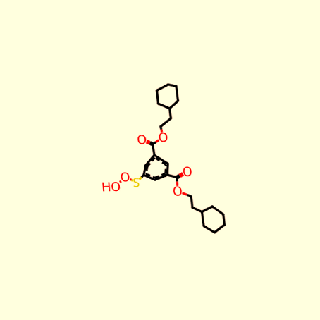 O=C(OCCC1CCCCC1)c1cc(SOO)cc(C(=O)OCCC2CCCCC2)c1